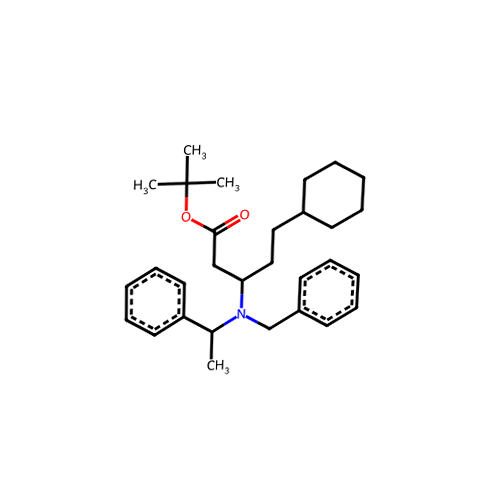 CC(c1ccccc1)N(Cc1ccccc1)C(CCC1CCCCC1)CC(=O)OC(C)(C)C